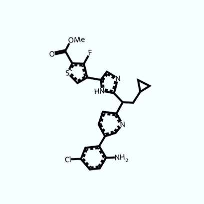 COC(=O)c1scc(-c2cnc(C(CC3CC3)c3ccc(-c4cc(Cl)ccc4N)cn3)[nH]2)c1F